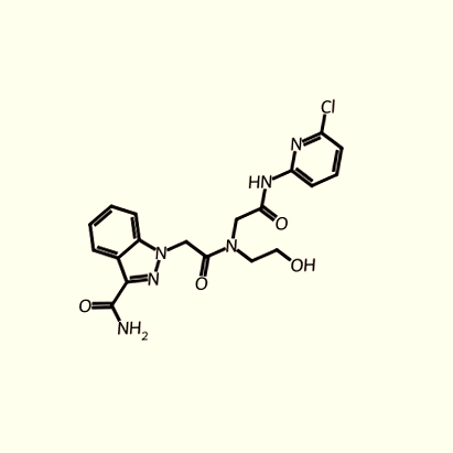 NC(=O)c1nn(CC(=O)N(CCO)CC(=O)Nc2cccc(Cl)n2)c2ccccc12